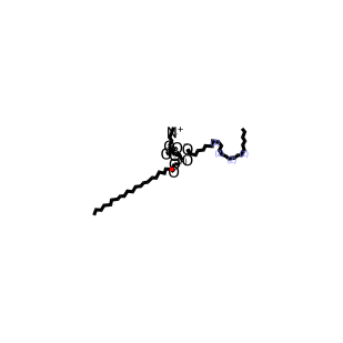 CCCCC/C=C\C/C=C\C/C=C\C/C=C\CCCCCC(=O)O[C@H](COC(=O)CCCCCCCCCCCCCCCCCCCC)COP(=O)([O-])OCC[N+](C)(C)C